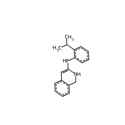 CC(C)c1ccccc1PC1=Cc2ccccc2CN1